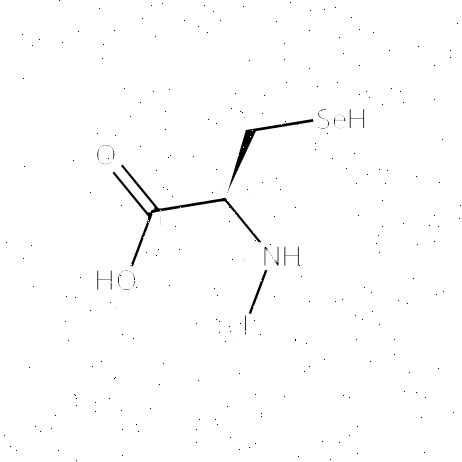 O=C(O)[C@@H](C[SeH])NI